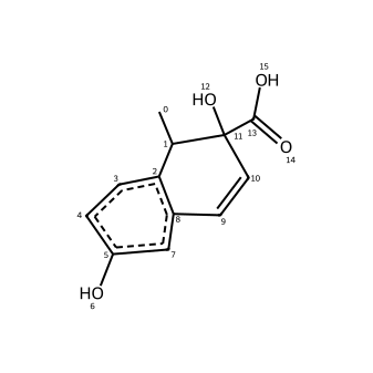 CC1c2ccc(O)cc2C=CC1(O)C(=O)O